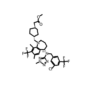 COC(=O)C[C@H]1CC[C@H](CN2CCC[C@H](N(Cc3cc(Cl)cc(C(F)(F)F)c3)c3nnn(C)n3)c3cc(C)c(C(F)(F)F)c(C)c32)CC1